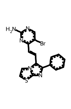 Nc1ncc(Br)c(/C=C/c2c(-c3ccccc3)nc3sccn23)n1